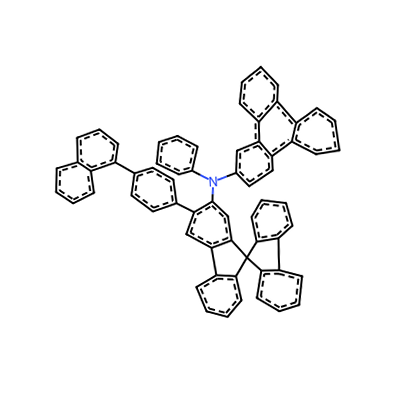 c1ccc(N(c2ccc3c4ccccc4c4ccccc4c3c2)c2cc3c(cc2-c2ccc(-c4cccc5ccccc45)cc2)-c2ccccc2C32c3ccccc3-c3ccccc32)cc1